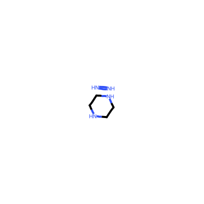 C1CNCCN1.N=N